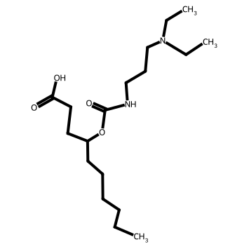 CCCCCCC(CCC(=O)O)OC(=O)NCCCN(CC)CC